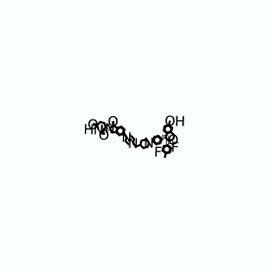 Cc1cc(F)c([C@H]2OCc3cc(O)ccc3[C@H]2c2ccc(N3CCC(CN4CCN(c5ccc6c(c5)CN([C@H]5CCC(=O)NC5=O)C6=O)CC4)CC3)cc2)cc1F